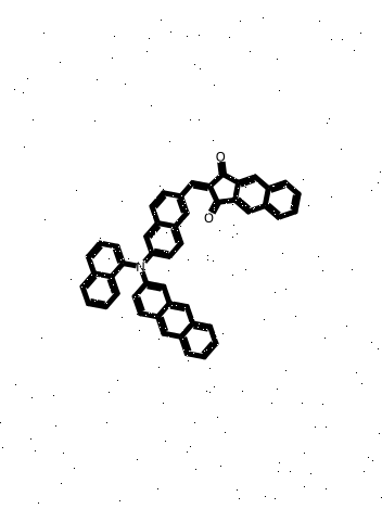 O=C1C(=Cc2ccc3cc(N(c4ccc5cc6ccccc6cc5c4)c4cccc5ccccc45)ccc3c2)C(=O)c2cc3ccccc3cc21